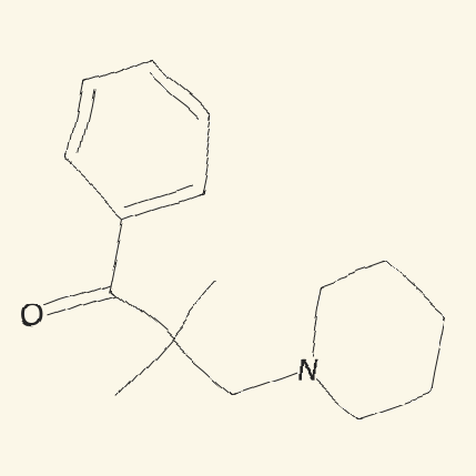 CC(C)(CN1CCCCC1)C(=O)c1ccccc1